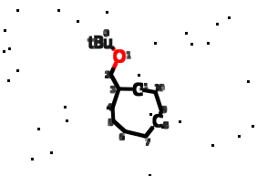 CC(C)(C)OCC1CCCCCCCC1